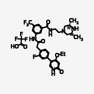 CCOc1cc(=O)[nH]cc1-c1ccc(CC(=O)Nc2cc(C(=O)NCCN3C[C@@H](C)N[C@@H](C)C3)cc(C(F)(F)F)c2)c(F)c1.O=C(O)C(F)(F)F